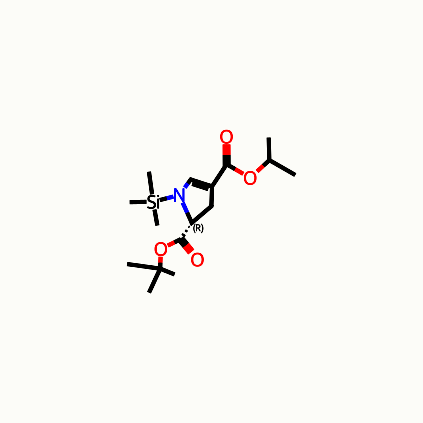 CC(C)OC(=O)C1=CN([Si](C)(C)C)[C@@H](C(=O)OC(C)(C)C)C1